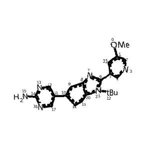 COc1cncc(-c2nc3cc(-c4cnc(N)nc4)ccc3n2C(C)(C)C)c1